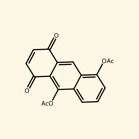 CC(=O)Oc1cccc2c(OC(C)=O)c3c(cc12)C(=O)C=CC3=O